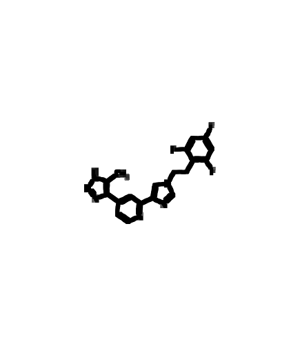 Cc1[nH]nnc1-c1ccnc(-c2cn(CCc3c(F)cc(F)cc3F)cn2)c1